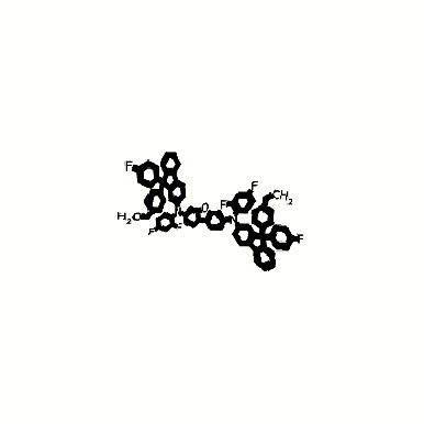 C=CC1=CCC(C2(C3C=CC(F)CC3)C3=C(CCC(N(c4ccc5c(c4)OC4C=C(N(C6=CC7=C(CC6)C6=C(C=CCC6)C7(C6=CCC(F)CC6)C6C=CC(C=C)CC6)C6=CCC(F)CC6F)C=CC54)c4ccc(F)cc4F)=C3)c3ccccc32)CC1